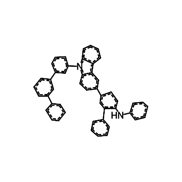 c1ccc(Nc2ccc(-c3ccc4c(c3)c3ccccc3n4-c3cccc(-c4cccc(-c5ccccc5)c4)c3)cc2-c2ccccc2)cc1